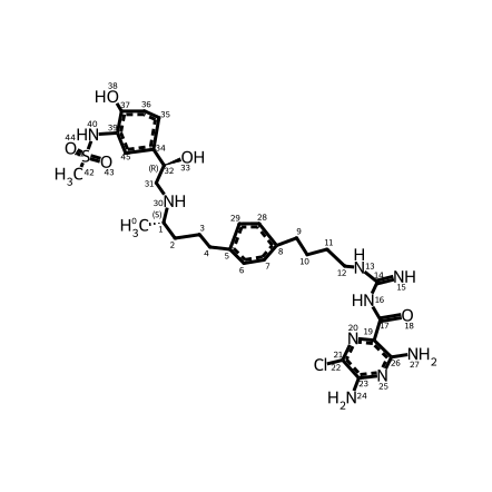 C[C@@H](CCCc1ccc(CCCCNC(=N)NC(=O)c2nc(Cl)c(N)nc2N)cc1)NC[C@H](O)c1ccc(O)c(NS(C)(=O)=O)c1